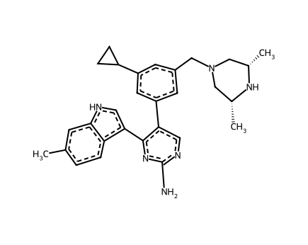 Cc1ccc2c(-c3nc(N)ncc3-c3cc(CN4C[C@@H](C)N[C@@H](C)C4)cc(C4CC4)c3)c[nH]c2c1